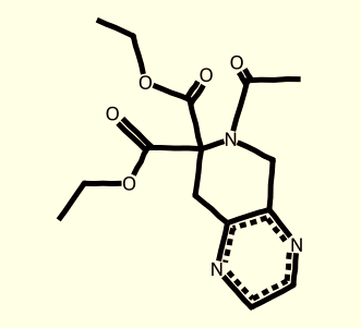 CCOC(=O)C1(C(=O)OCC)Cc2nccnc2CN1C(C)=O